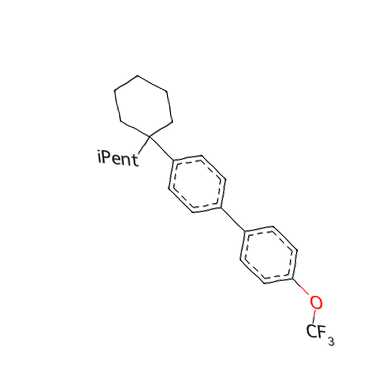 CCCC(C)C1(c2ccc(-c3ccc(OC(F)(F)F)cc3)cc2)CCCCC1